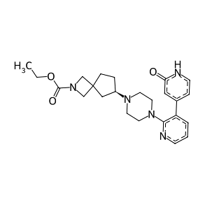 CCOC(=O)N1CC2(CC[C@@H](N3CCN(c4ncccc4-c4cc[nH]c(=O)c4)CC3)C2)C1